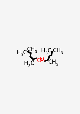 CC(C)=CC=C(C)COOCC(C)=CC=C(C)C